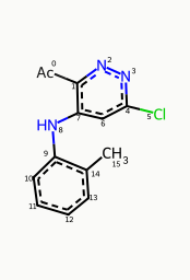 CC(=O)c1nnc(Cl)cc1Nc1ccccc1C